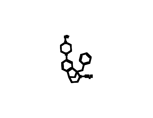 CCCN1CCN(c2ccc3c(c2)C2(Cc4ccccc4)CC3CCN2C(=O)O)CC1